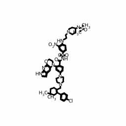 CC1(C)CCC(CN2CCN(c3ccc(C(=O)NS(=O)(=O)c4ccc(NCCN5CCC(N=S(C)(C)=O)CC5)c([N+](=O)[O-])c4)c(N4CCOc5nc6[nH]ccc6cc54)c3)CC2)=C(c2ccc(Cl)cc2)C1